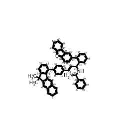 CC1(C)c2cc3ccccc3cc2-c2c(-c3ccc(/C=C/C(NC(N)c4ccccc4)c4ccccc4-c4ccc5oc6ccccc6c5c4)cc3)cccc21